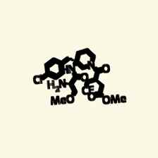 COC[C@H](N)C(=O)N[C@@]1(Cc2ccc(Cl)cc2)CCCN(C(=O)[C@@H](CC(=O)OC)CC(F)(F)F)C1